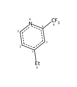 CCc1ccnc(C(F)(F)F)c1